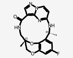 C[C@H]1Nc2ccn3ncc(c3n2)C(=O)NC[C@@]2(C)COc3cc(F)cc1c3O2